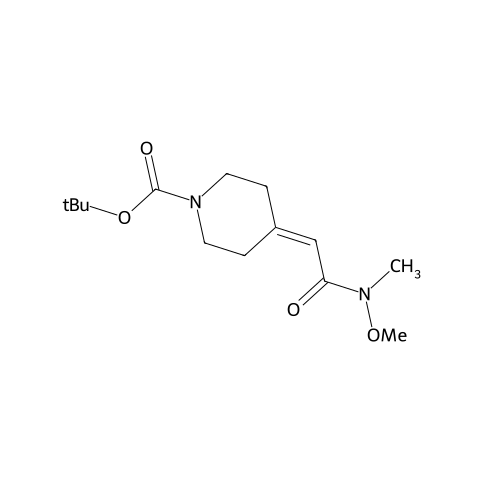 CON(C)C(=O)C=C1CCN(C(=O)OC(C)(C)C)CC1